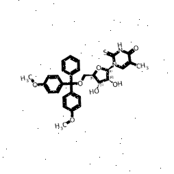 COc1ccc(C(OC[C@H]2O[C@@H](n3cc(C)c(=O)[nH]c3=S)[C@H](O)[C@@H]2O)(c2ccccc2)c2ccc(OC)cc2)cc1